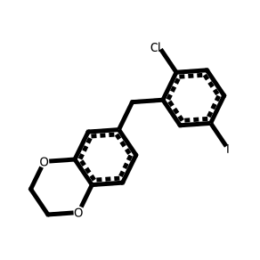 Clc1ccc(I)cc1Cc1ccc2c(c1)OCCO2